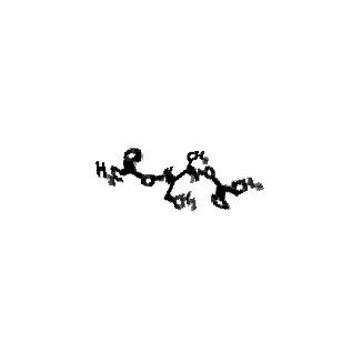 CCC(=N\OC(C)=O)/C(C)=N/OC(C)=O